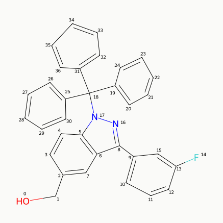 OCc1ccc2c(c1)c(-c1cccc(F)c1)nn2C(c1ccccc1)(c1ccccc1)c1ccccc1